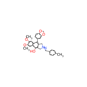 COc1cc2c(O)c3c(c(-c4ccc5c(c4)OCO5)c2cc1OC)CN(/N=C/c1ccc(C)cc1)C3